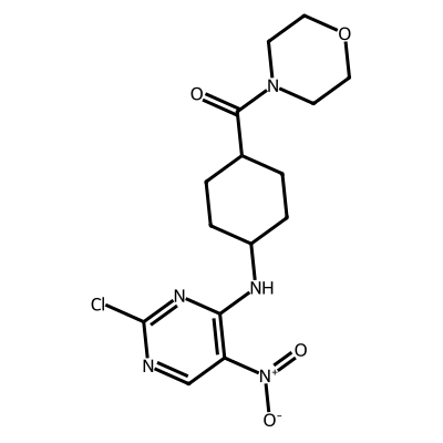 O=C(C1CCC(Nc2nc(Cl)ncc2[N+](=O)[O-])CC1)N1CCOCC1